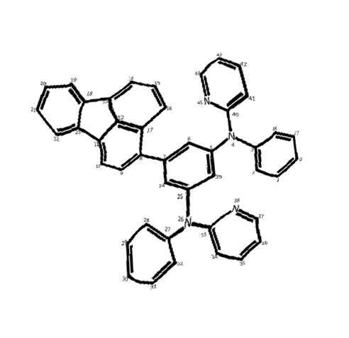 c1ccc(N(c2cc(-c3ccc4c5c(cccc35)-c3ccccc3-4)cc(N(c3ccccc3)c3ccccn3)c2)c2ccccn2)cc1